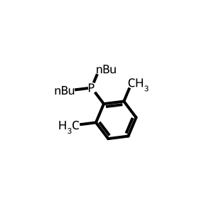 CCCCP(CCCC)c1c(C)cccc1C